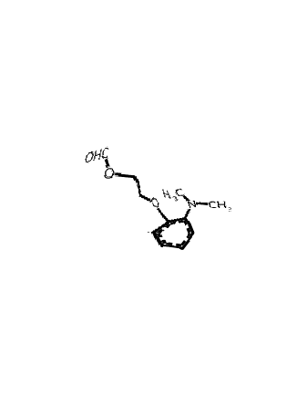 CN(C)c1ccc[c]c1OCCOC=O